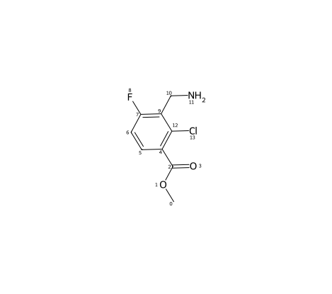 COC(=O)c1ccc(F)c(CN)c1Cl